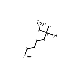 CCCCCCCCCCC(C)(O)CC(=O)O